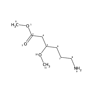 COC(=O)CC(CCCN)OC